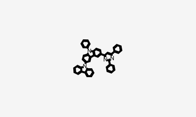 c1ccc(-c2cc(-c3ccc4c(c3)c3cc(-n5c6ccccc6c6ccccc65)ccc3n4-c3ccccc3)nc(-c3ccccc3)n2)cc1